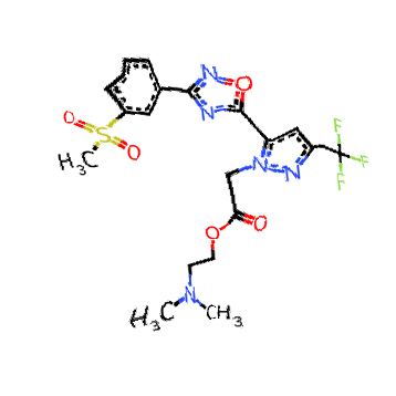 CN(C)CCOC(=O)Cn1nc(C(F)(F)F)cc1-c1nc(-c2cccc(S(C)(=O)=O)c2)no1